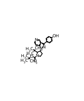 CC(C)(C)OC(=O)N1CCC(n2nc(-c3ccc(O)cc3)c3cnccc32)C1C(C)(C)C